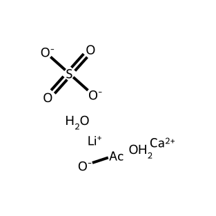 CC(=O)[O-].O.O.O=S(=O)([O-])[O-].[Ca+2].[Li+]